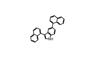 c1ccc2c(-c3ccc4[nH]cc(-c5cccc6ccccc56)c4c3)cccc2c1